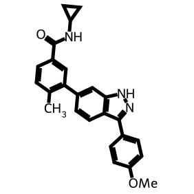 COc1ccc(-c2n[nH]c3cc(-c4cc(C(=O)NC5CC5)ccc4C)ccc23)cc1